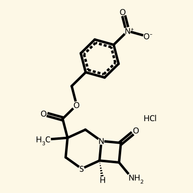 CC1(C(=O)OCc2ccc([N+](=O)[O-])cc2)CS[C@@H]2C(N)C(=O)N2C1.Cl